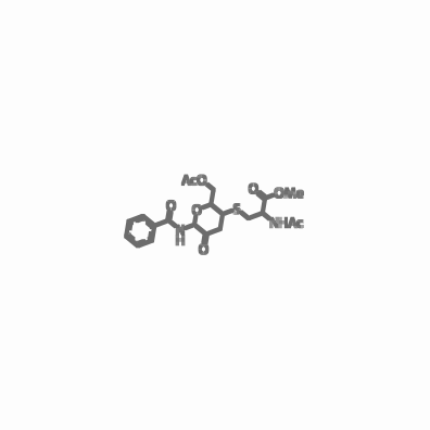 COC(=O)C(CSC1CC(=O)C(NC(=O)c2ccccc2)OC1COC(C)=O)NC(C)=O